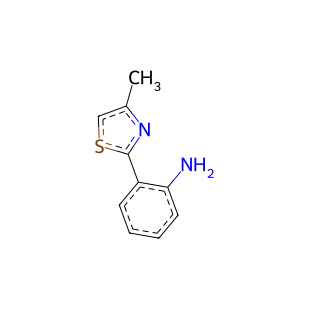 Cc1csc(-c2ccccc2N)n1